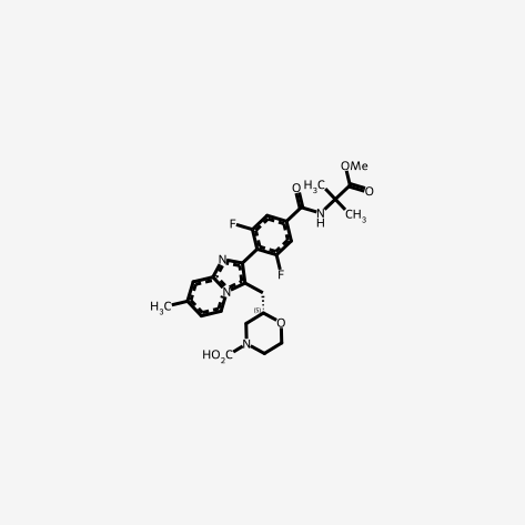 COC(=O)C(C)(C)NC(=O)c1cc(F)c(-c2nc3cc(C)ccn3c2C[C@H]2CN(C(=O)O)CCO2)c(F)c1